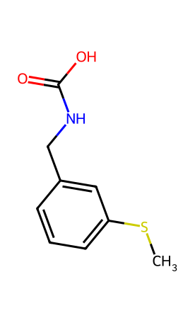 CSc1cccc(CNC(=O)O)c1